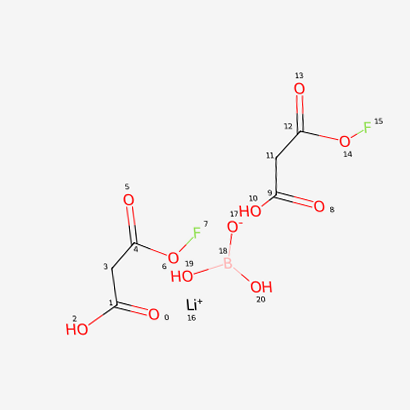 O=C(O)CC(=O)OF.O=C(O)CC(=O)OF.[Li+].[O-]B(O)O